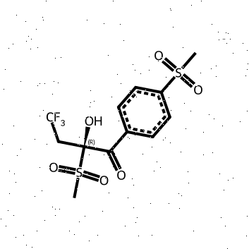 CS(=O)(=O)c1ccc(C(=O)[C@@](O)(CC(F)(F)F)S(C)(=O)=O)cc1